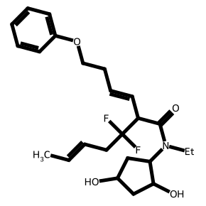 CC=CCC(F)(F)C(C=CCCOc1ccccc1)C(=O)N(CC)C1CC(O)CC1O